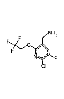 NCc1cc(F)c(Cl)nc1OCC(F)(F)F